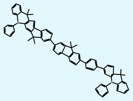 CC1(C)c2cc(-c3ccc(-c4ccc5c(c4)N(c4ccccc4)c4ccccc4C5(C)C)cc3)ccc2-c2ccc(-c3ccc4c(c3)C(C)(C)c3cc5c(cc3-4)C(C)(C)c3ccccc3N5c3ccccc3)cc21